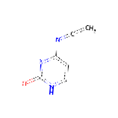 C=C=Nc1cc[nH]c(=O)n1